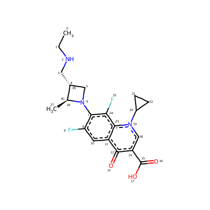 CCNC[C@@H]1CN(c2c(F)cc3c(=O)c(C(=O)O)cn(C4CC4)c3c2F)[C@H]1C